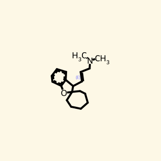 CN(C)C/C=C/C1c2ccccc2OC12CCCCCC2